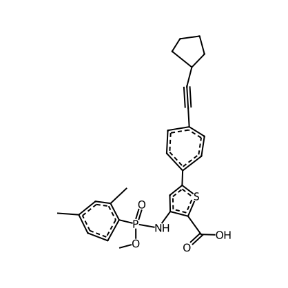 COP(=O)(Nc1cc(-c2ccc(C#CC3CCCC3)cc2)sc1C(=O)O)c1ccc(C)cc1C